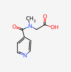 CN(CC(=O)O)C(=O)c1ccncc1